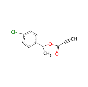 C#CC(=O)OC(C)c1ccc(Cl)cc1